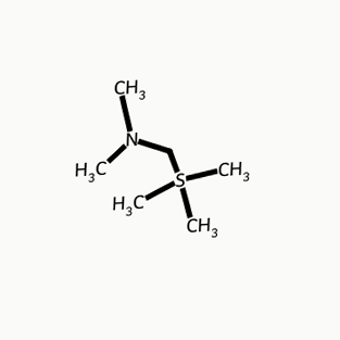 CN(C)CS(C)(C)C